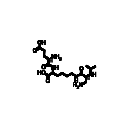 CC(C)N[C@@H](CN)C(=O)NCCCCC(NC(=O)[C@@H](N)CCC(=O)O)C(=O)O